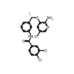 C[C@H](Oc1cc(Cl)cnc1N)c1cccc(NC(=O)c2ccc(Cl)c(Cl)c2)c1